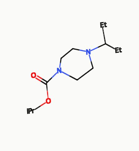 CCC(CC)N1CCN(C(=O)OC(C)C)CC1